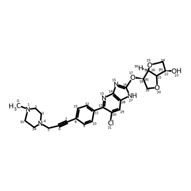 CN1CCN(CC#Cc2ccc(-c3nc4nc(O[C@@H]5COC6[C@H](O)CO[C@@H]65)[nH]c4cc3Cl)cc2)CC1